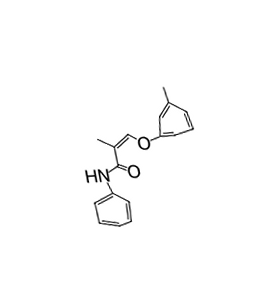 CC(=COc1cccc(C)c1)C(=O)Nc1ccccc1